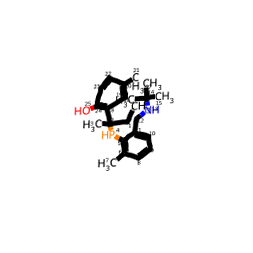 CCC(C)(Pc1c(C)cccc1CNC(C)(C)C)c1cc(C)ccc1O